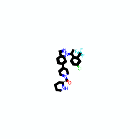 CC(c1ccc(Cl)cc1C(F)(F)F)n1ncc2ccc(C3=CCN(C(=O)[C@H]4CCCCN4)CC3)cc21